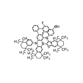 CC(C)(C)c1ccc(N2c3cc(-c4ccccc4-c4c(F)cccc4F)cc4c3B(c3cc5c(cc3N4c3ccc4c(c3)C(C)(C)CCC4(C)C)C(C)(C)CCC5(C)C)c3sc4cc5c(cc4c32)C(C)(C)CCC5(C)C)cc1